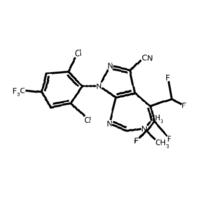 CN(C)/C=N\c1c(C(=C(F)F)C(F)F)c(C#N)nn1-c1c(Cl)cc(C(F)(F)F)cc1Cl